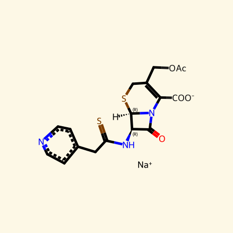 CC(=O)OCC1=C(C(=O)[O-])N2C(=O)[C@@H](NC(=S)Cc3ccncc3)[C@H]2SC1.[Na+]